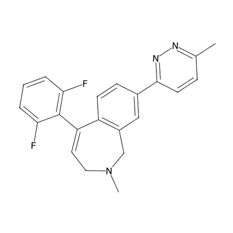 Cc1ccc(-c2ccc3c(c2)CN(C)CC=C3c2c(F)cccc2F)nn1